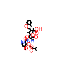 COc1ccnc(C(=O)N[C@@H](CC=O)C(=O)C(=O)[C@@H](C)[C@@H]([C@H](C=O)Cc2ccccc2)C(C)(C)C(=O)O)c1OCOC(=O)C(C)C